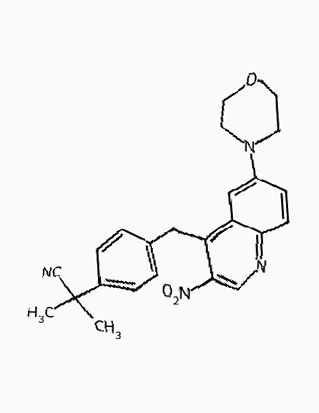 CC(C)(C#N)c1ccc(Cc2c([N+](=O)[O-])cnc3ccc(N4CCOCC4)cc23)cc1